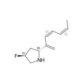 C=C(/C=C\C=C/C)[C@H]1C[C@H](F)CN1